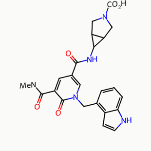 CNC(=O)c1cc(C(=O)NC2C3CN(C(=O)O)CC32)cn(Cc2cccc3[nH]ccc23)c1=O